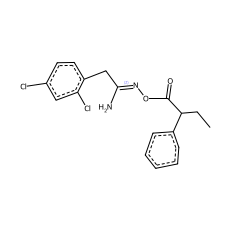 CCC(C(=O)O/N=C(\N)Cc1ccc(Cl)cc1Cl)c1ccccc1